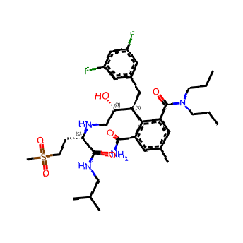 CCCN(CCC)C(=O)c1cc(C)cc(C(N)=O)c1[C@H](Cc1cc(F)cc(F)c1)[C@@H](O)CN[C@@H](CCS(C)(=O)=O)C(=O)NCC(C)C